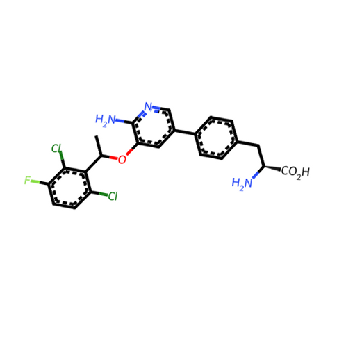 CC(Oc1cc(-c2ccc(C[C@H](N)C(=O)O)cc2)cnc1N)c1c(Cl)ccc(F)c1Cl